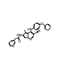 Cc1c(NC(=O)Cc2cccnc2)cn2ncc(C#N)c(Nc3ccc(OC4=CCCC=C4)cc3)c12